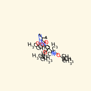 Cc1nn(COCC[Si](C)(C)C)c(C)c1-c1ccc(NC(=O)C(NC(=O)OC(C)(C)C)C(C2CC2)C2CC2)cc1COCC[Si](C)(C)C